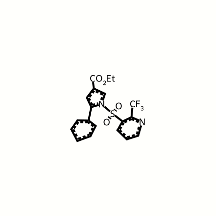 CCOC(=O)c1cc(-c2ccccc2)n(S(=O)(=O)c2cccnc2C(F)(F)F)c1